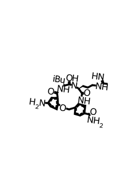 CC[C@H](C)[C@@H]1NC(=O)c2cc(N)ccc2OCc2ccc(C(N)=O)cc2NC(=O)[C@H](CCCNC(C)=N)NC1=O